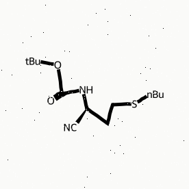 CCCCSCC[C@@H](C#N)NC(=O)OC(C)(C)C